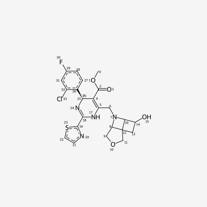 COC(=O)C1=C(CN2C3COCC34CC(O)C24)NC(c2nccs2)=N[C@H]1c1ccc(F)cc1Cl